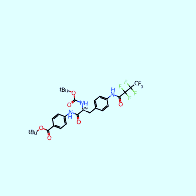 CC(C)(C)OC(=O)N[C@@H](Cc1ccc(NC(=O)C(F)(F)C(F)(F)C(F)(F)F)cc1)C(=O)Nc1ccc(C(=O)OC(C)(C)C)cc1